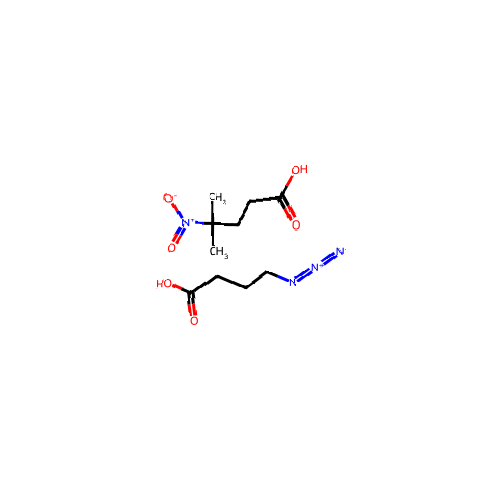 CC(C)(CCC(=O)O)[N+](=O)[O-].[N-]=[N+]=NCCCC(=O)O